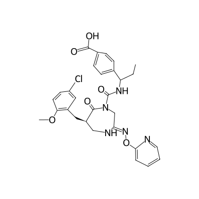 CCC(NC(=O)N1C/C(=N/Oc2ccccn2)NC[C@@H](Cc2cc(Cl)ccc2OC)C1=O)c1ccc(C(=O)O)cc1